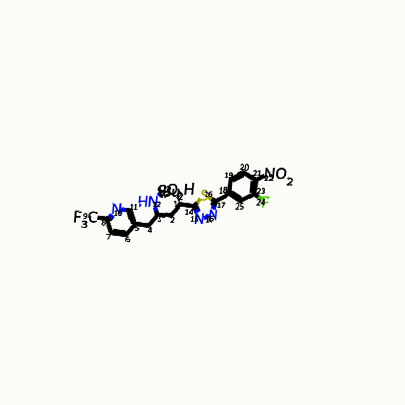 CC(C)(C)[C@@H](CC(Cc1ccc(C(F)(F)F)nc1)NC(=O)O)c1nnc(-c2ccc([N+](=O)[O-])c(F)c2)s1